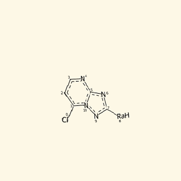 Clc1ccnc2n[c]([RaH])nn12